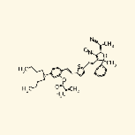 [C-]#[N+]C1=C(/C=C/c2ccc(/C=C/c3ccc(N(CCCC)CCCC)cc3OC(=O)C(=C)C)s2)C(C)(c2ccccc2)O/C1=C(\C)C#N